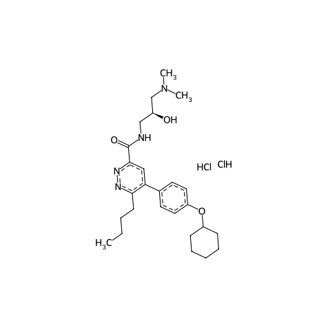 CCCCc1nnc(C(=O)NC[C@H](O)CN(C)C)cc1-c1ccc(OC2CCCCC2)cc1.Cl.Cl